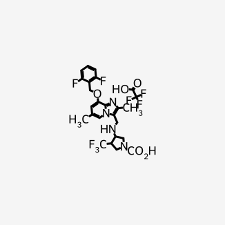 Cc1cc(OCc2c(F)cccc2F)c2nc(C)c(CNC3CN(C(=O)O)CC3C(F)(F)F)n2c1.O=C(O)C(F)(F)F